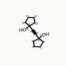 OC1(C#CC2(O)CCCC2)CCCC1